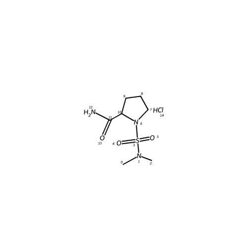 CN(C)S(=O)(=O)N1CCCC1C(N)=O.Cl